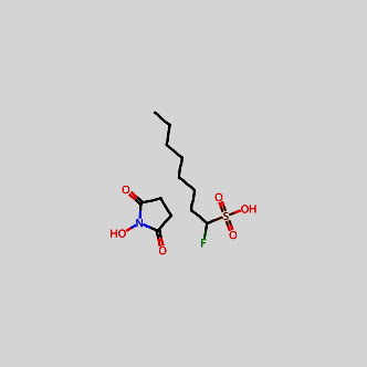 CCCCCCCC(F)S(=O)(=O)O.O=C1CCC(=O)N1O